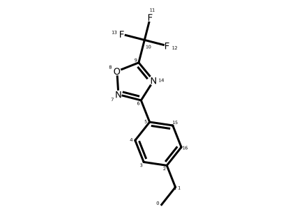 C[CH]c1ccc(-c2noc(C(F)(F)F)n2)cc1